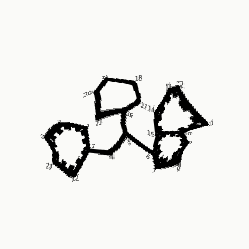 [c]1ccc(CC(c2cccc3ccccc23)C2CCCCC2)cc1